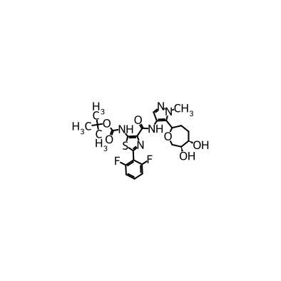 Cn1ncc(NC(=O)c2nc(-c3c(F)cccc3F)sc2NC(=O)OC(C)(C)C)c1C1CC[C@@H](O)[C@@H](O)CO1